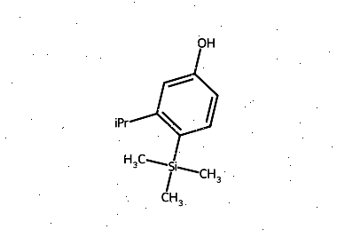 CC(C)c1cc(O)ccc1[Si](C)(C)C